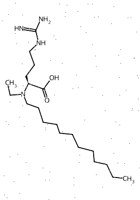 CCCCCCCCCCCCN(CC)[C@@H](CCCNC(=N)N)C(=O)O